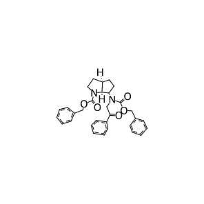 O=C(CN(C(=O)OCc1ccccc1)[C@H]1CC[C@@H]2CCN(C(=O)OCc3ccccc3)[C@@H]21)c1ccccc1